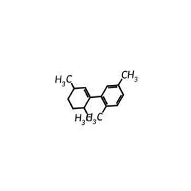 Cc1ccc(C)c(C2=CC(C)CCC2C)c1